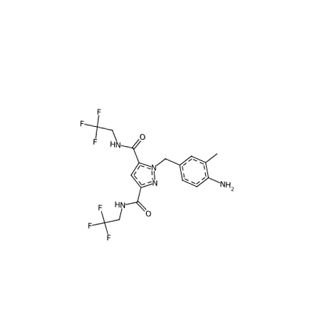 Cc1cc(Cn2nc(C(=O)NCC(F)(F)F)cc2C(=O)NCC(F)(F)F)ccc1N